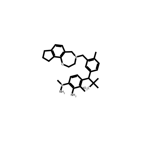 Cc1ccc(C(c2ccc(N(C)N)c(N)c2C)C(C)(C)C(=O)O)cc1CN1CCOc2c(ccc3c2CCC3)C1